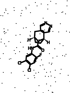 O=C(Nc1cc(Cl)c(Cl)cc1F)N1[C@H]2CC[C@@H]1c1cnncc1C2